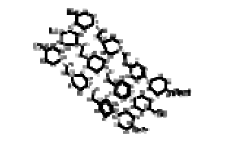 CCCCC[C@H]1CC[C@H](c2ccc(CC[C@H]3CC[C@H](CC[C@H]4CC[C@H](CC)CC4)CC3)cc2)CC1.CCCC[C@H]1CC[C@H](c2ccc(CC[C@H]3CC[C@H](CC[C@H]4CC[C@H](CC)CC4)CC3)cc2)CC1.CCC[C@H]1CC[C@H](c2ccc(CC[C@H]3CC[C@H](CC[C@H]4CC[C@H](CC)CC4)CC3)cc2)CC1